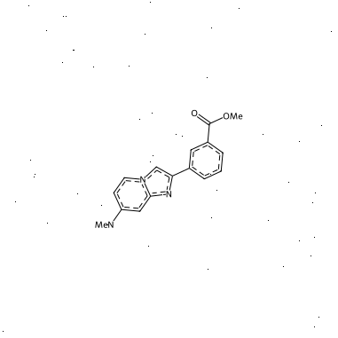 CNc1ccn2cc(-c3cccc(C(=O)OC)c3)nc2c1